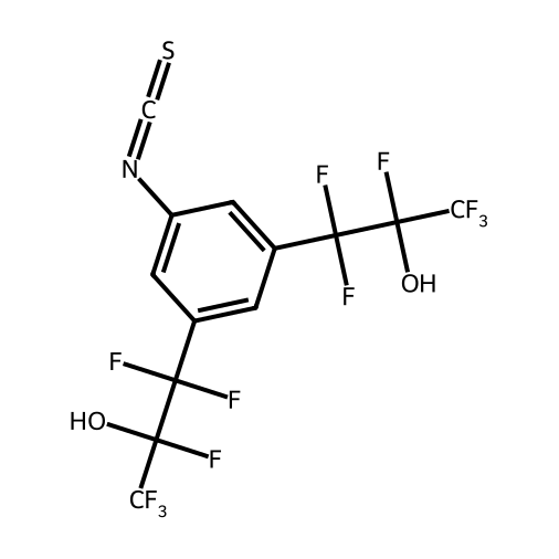 OC(F)(C(F)(F)F)C(F)(F)c1cc(N=C=S)cc(C(F)(F)C(O)(F)C(F)(F)F)c1